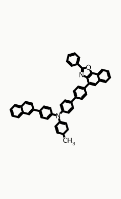 CC1C=CC(N(c2ccc(-c3ccc(-c4cc5ccccc5c5oc(-c6ccccc6)nc45)cc3)cc2)c2ccc(-c3ccc4ccccc4c3)cc2)=CC1